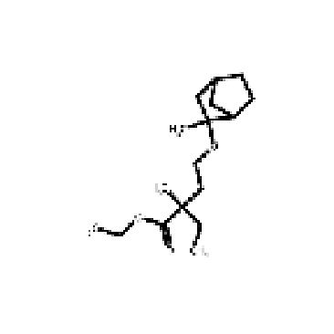 CCOC(=O)C(C)(CC)CCOC1(C)CC2CCC1C2